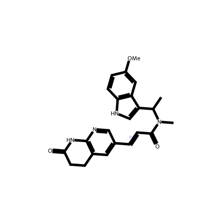 COc1ccc2[nH]cc(C(C)N(C)C(=O)/C=C/c3cnc4c(c3)CCC(=O)N4)c2c1